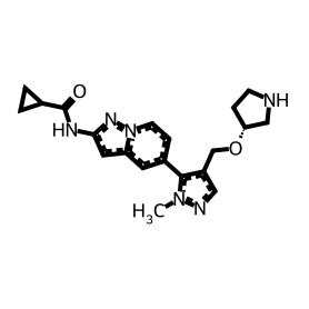 Cn1ncc(CO[C@@H]2CCNC2)c1-c1ccn2nc(NC(=O)C3CC3)cc2c1